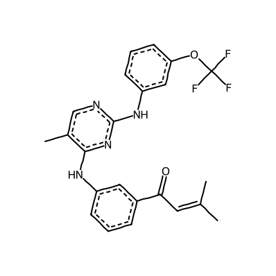 CC(C)=CC(=O)c1cccc(Nc2nc(Nc3cccc(OC(F)(F)F)c3)ncc2C)c1